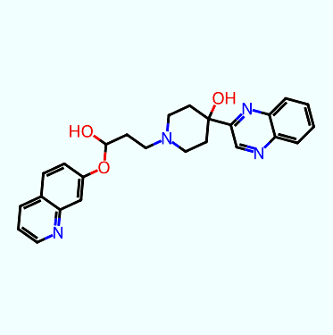 OC(CCN1CCC(O)(c2cnc3ccccc3n2)CC1)Oc1ccc2cccnc2c1